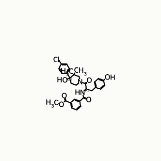 COC(=O)c1cccc(C(=O)N[C@H](Cc2ccc(O)cc2)C(=O)N2CC[C@](O)(c3ccc(Cl)cc3)C(C)(C)C2)c1